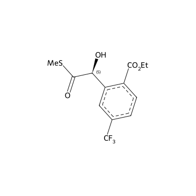 CCOC(=O)c1ccc(C(F)(F)F)cc1[C@H](O)C(=O)SC